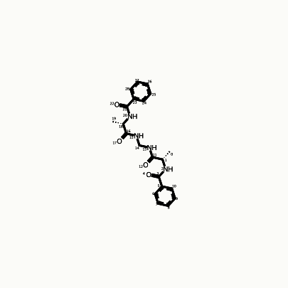 C[C@H](NC(=O)c1ccccc1)C(=O)NCNC(=O)[C@H](C)NC(=O)c1ccccc1